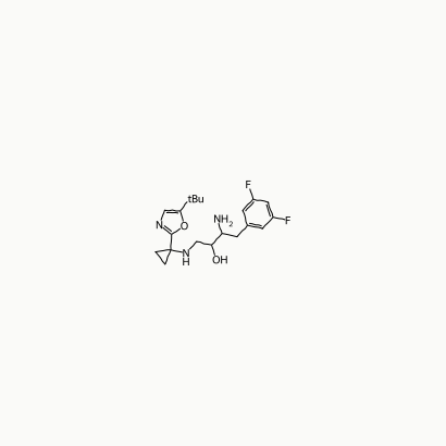 CC(C)(C)c1cnc(C2(NCC(O)C(N)Cc3cc(F)cc(F)c3)CC2)o1